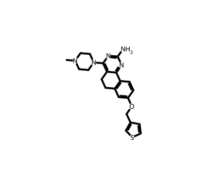 CN1CCN(c2nc(N)nc3c2CCc2cc(OCc4ccsc4)ccc2-3)CC1